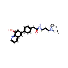 CN(C)CCCNC(=O)Cc1ccc(-c2cc(O)c3ncccc3c2)cc1